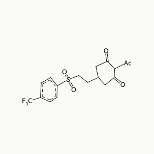 CC(=O)C1C(=O)CC(CCS(=O)(=O)c2ccc(C(F)(F)F)cc2)CC1=O